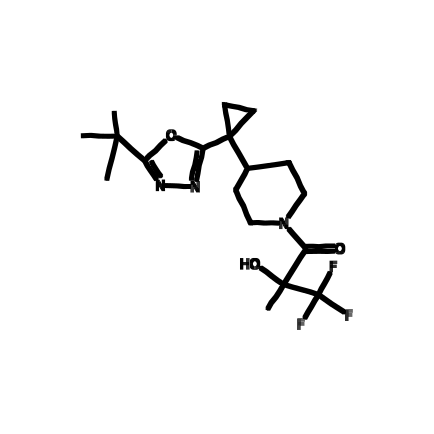 CC(C)(C)c1nnc(C2(C3CCN(C(=O)C(C)(O)C(F)(F)F)CC3)CC2)o1